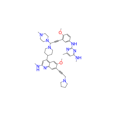 CNc1cc(C)nc(Nc2ccc(OC)c(C#CC(N3CCC(c4cc(NC)nc5cc(C#CCN6CCCC6)c(OC)cc45)CC3)N3CCN(C)CC3)c2)n1